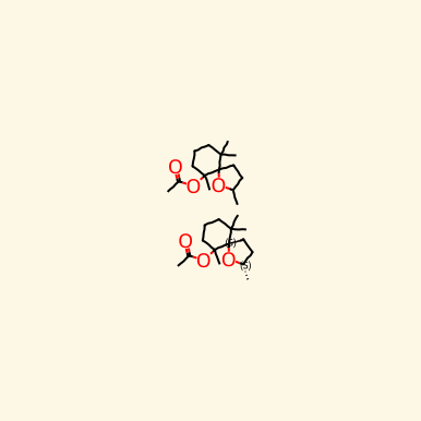 CC(=O)OC1(C)CCCC(C)(C)C12CCC(C)O2.CC(=O)OC1(C)CCCC(C)(C)[C@@]12CC[C@H](C)O2